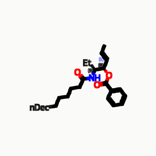 C/C=C/[C@@H](OC(=O)c1ccccc1)[C@H](CC)NC(=O)CCCCCCCCCCCCCCC